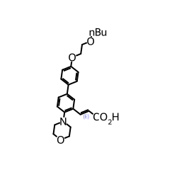 CCCCOCCOc1ccc(-c2ccc(N3CCOCC3)c(/C=C/C(=O)O)c2)cc1